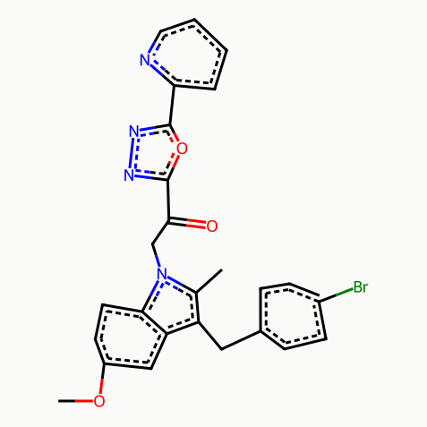 COc1ccc2c(c1)c(Cc1ccc(Br)cc1)c(C)n2CC(=O)c1nnc(-c2ccccn2)o1